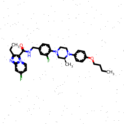 CCCCOc1ccc(N2CCN(c3ccc(CNC(=O)c4c(CC)nc5cc(F)ccn45)cc3F)C[C@@H]2C)cc1